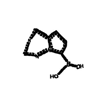 OB(O)c1ccc2cncnn12